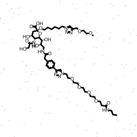 CCCNC(=O)CCOCCOCCOCCOCCn1cc(-c2ccc(CC(=O)NC[C@@H](O)[C@@H](O)[C@@H]3O[C@@](OCCCCCCn4cc(COCCOC)nn4)(C(=O)O)C[C@H](O)[C@H]3NC(=O)CO)cc2)nn1